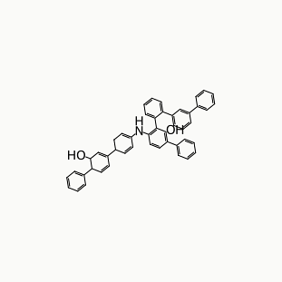 Oc1c(-c2ccccc2)ccc(NC2=CCC(C3=CC(O)C(c4ccccc4)C=C3)C=C2)c1-c1ccccc1-c1cccc(-c2ccccc2)c1